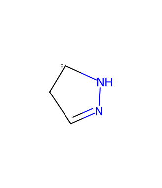 [C]1CC=NN1